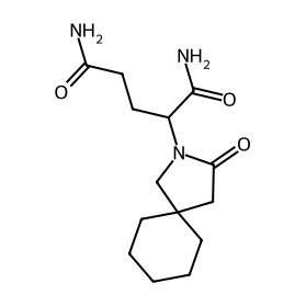 NC(=O)CCC(C(N)=O)N1CC2(CCCCC2)CC1=O